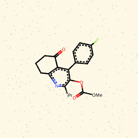 COC(=O)Oc1c(C(C)C)nc2c(c1-c1ccc(F)cc1)C(=O)CCC2